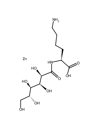 NCCCC[C@H](NC(=O)[C@H](O)[C@@H](O)[C@H](O)[C@H](O)CO)C(=O)O.[Zn]